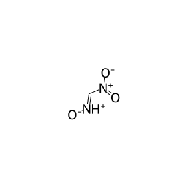 O=[N+]([O-])C=[NH+][O-]